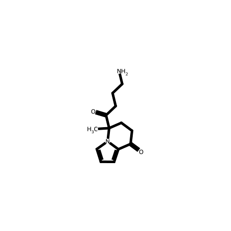 CC1(C(=O)CCCN)CCC(=O)c2cccn21